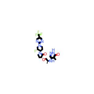 Cc1c(N[C@@H](C)CO[C@@H]2CCN([C@H]3CCN(c4ncc(C(F)(F)F)cn4)C[C@H]3F)C2=O)cn[nH]c1=O